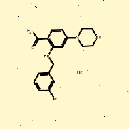 Cl.O=C(c1ccc(N2CCNCC2)cc1NCc1cccc(Br)c1)C(F)(F)F